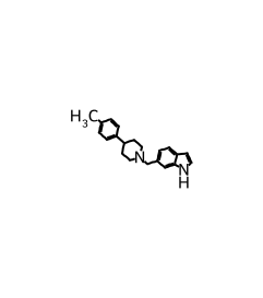 Cc1ccc(C2CCN(Cc3ccc4cc[nH]c4c3)CC2)cc1